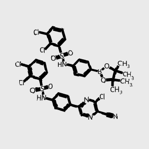 CC1(C)OB(c2ccc(NS(=O)(=O)c3cccc(Cl)c3Cl)cc2)OC1(C)C.N#Cc1ncc(-c2ccc(NS(=O)(=O)c3cccc(Cl)c3Cl)cc2)nc1Cl